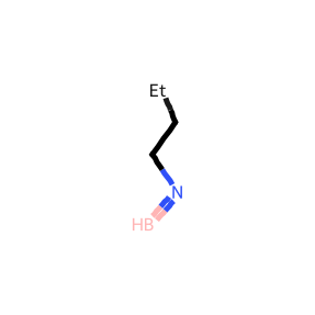 B=NCCCC